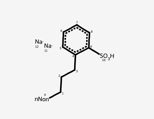 CCCCCCCCCCCCc1ccccc1S(=O)(=O)O.[Na].[Na]